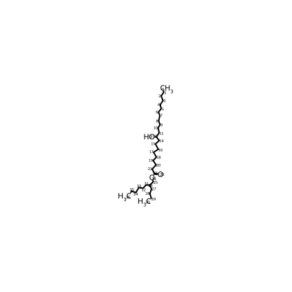 CCCCCCCCCCCCC(O)CCCCCCCCC(=O)OCC(CCCC)CCCCCC